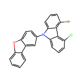 Clc1cccc2c1c1c(Br)cccc1n2-c1ccc2oc3ccccc3c2c1